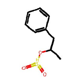 CC(Cc1ccccc1)O[SH](=O)=O